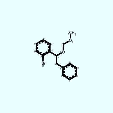 COCOC(Cc1ccccc1)c1ccccc1Br